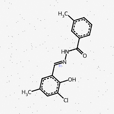 Cc1cccc(C(=O)N/N=C/c2cc(C)cc(Cl)c2O)c1